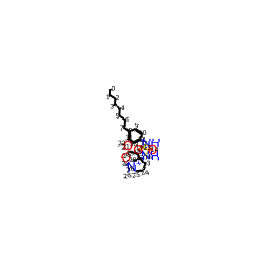 CCCCCCCCc1ccc(NS(=O)(=O)NC2(CC(=O)OC)CCC[N+](C)(C)C2)cc1